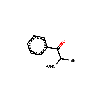 CCCCC([C]=O)C(=O)c1ccccc1